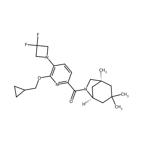 CC1(C)C[C@@H]2C[C@@](C)(CN2C(=O)c2ccc(N3CC(F)(F)C3)c(OCC3CC3)n2)C1